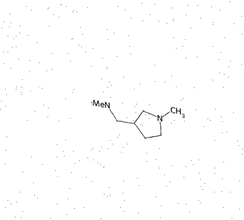 C[N]CC1CCN(C)C1